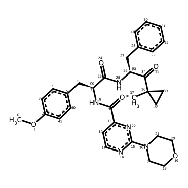 COc1ccc(C[C@H](NC(=O)c2ccnc(N3CCOCC3)n2)C(=O)N[C@@H](Cc2ccccc2)C(=O)C2(C)CC2)cc1